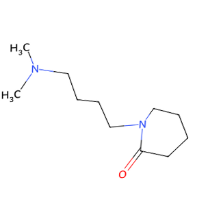 CN(C)CCCCN1CCCCC1=O